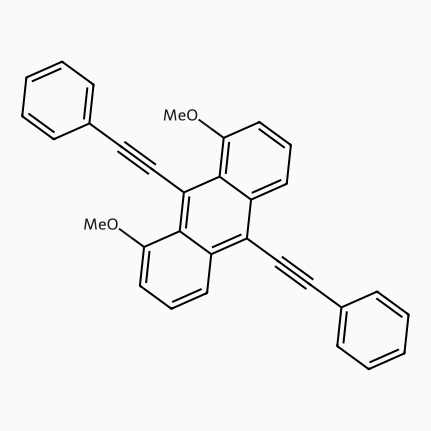 COc1cccc2c(C#Cc3ccccc3)c3cccc(OC)c3c(C#Cc3ccccc3)c12